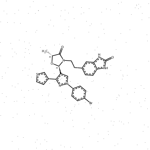 C[C@H]1O[C@H](c2cn(-c3ccc(Br)cc3)nc2-c2ccsc2)N(CCc2ccc3[nH]c(=O)[nH]c3c2)C1=O